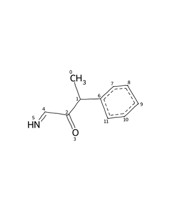 CC(C(=O)C=N)c1ccccc1